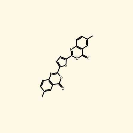 Cc1ccc2nc(-c3ccc(-c4nc5ccc(C)cc5c(=O)o4)s3)oc(=O)c2c1